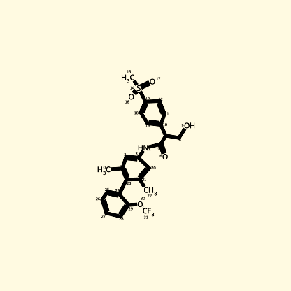 Cc1cc(NC(=O)C(CO)c2ccc(S(C)(=O)=O)cc2)cc(C)c1-c1ccccc1OC(F)(F)F